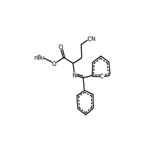 CCCCOC(=O)C(CCC#N)N=C(c1ccccc1)c1ccccc1